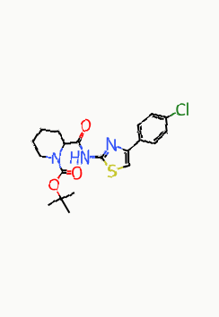 CC(C)(C)OC(=O)N1CCCCC1C(=O)Nc1nc(-c2ccc(Cl)cc2)cs1